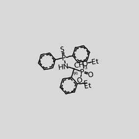 CCOP(=O)(OCC)[C@@](C)(NP(=S)(c1ccccc1)c1ccccc1)c1ccccc1F